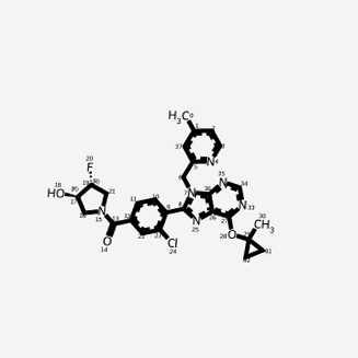 Cc1ccnc(Cn2c(-c3ccc(C(=O)N4C[C@@H](O)[C@H](F)C4)cc3Cl)nc3c(OC4(C)CC4)ncnc32)c1